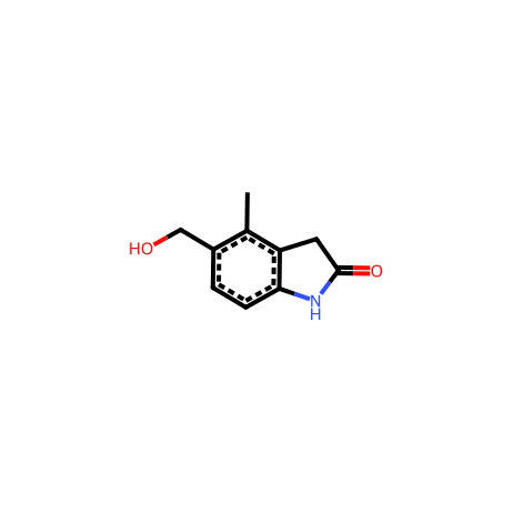 Cc1c(CO)ccc2c1CC(=O)N2